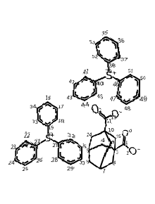 O=C([O-])C12CC3CC(C1)CC(C(=O)[O-])(C3)C2.c1ccc([S+](c2ccccc2)c2ccccc2)cc1.c1ccc([S+](c2ccccc2)c2ccccc2)cc1